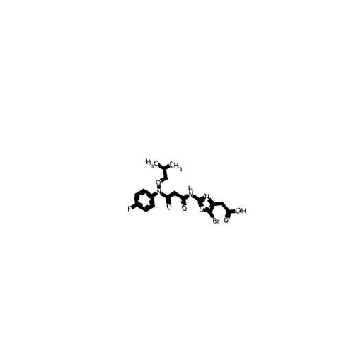 CC(C)CON(C(=O)CC(=O)Nc1nc(CC(=O)O)c(Br)s1)c1ccc(F)cc1